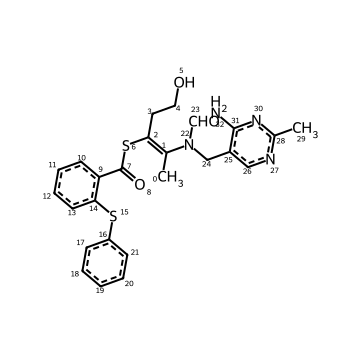 CC(=C(CCO)SC(=O)c1ccccc1Sc1ccccc1)N(C=O)Cc1cnc(C)nc1N